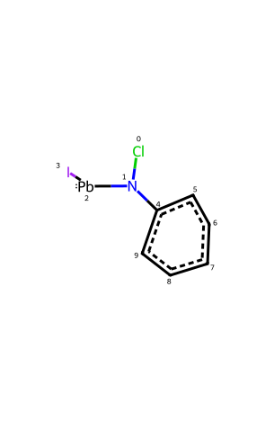 Cl[N]([Pb][I])c1ccccc1